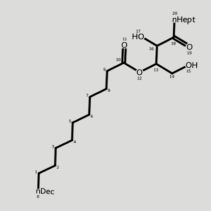 CCCCCCCCCCCCCCCCCCCC(=O)OC(CO)C(O)C(=O)CCCCCCC